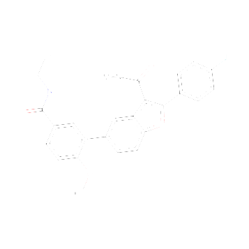 CCCOc1ccc(C(=O)NCC(C)C)cc1-c1ccc2oc(-c3ccc(F)cc3)c(C(=O)NC)c2c1